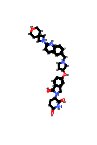 O=C1CCC(N2Cc3cc(O[C@H]4CCN(Cc5ccc6nc(N7CC8(CCOCC8)C7)ccc6c5)C4)ccc3C2=O)C(=O)N1